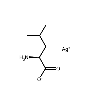 CC(C)C[C@H](N)C(=O)[O-].[Ag+]